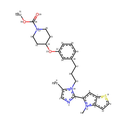 CCCc1cnc(-c2cc3sccc3n2C)n1CCCc1cccc(OC2CCN(C(=O)OC(C)(C)C)CC2)c1